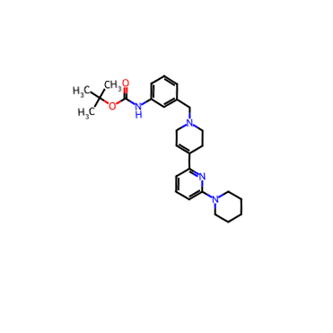 CC(C)(C)OC(=O)Nc1cccc(CN2CC=C(c3cccc(N4CCCCC4)n3)CC2)c1